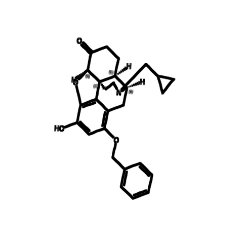 O=C1CC[C@H]2[C@H]3Cc4c(OCc5ccccc5)cc(O)c5c4[C@@]2(CCN3CC2CC2)[C@H]1O5